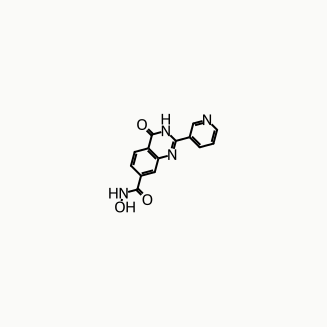 O=C(NO)c1ccc2c(=O)[nH]c(-c3cccnc3)nc2c1